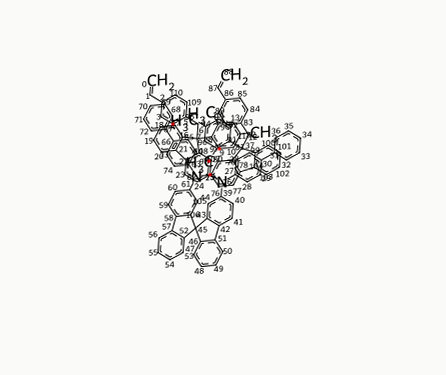 C=Cc1ccc(CC2(c3ccc(C)cc3C)c3ccccc3-c3ccc(N(c4ccc(-c5ccccc5)cc4)c4ccc5c(c4)C4(c6ccccc6-5)c5ccccc5-c5ccc(N(c6ccc(-c7ccccc7)cc6)c6ccc7c(c6)C(Cc6ccc(C=C)cc6)(c6ccc(C)cc6C)c6ccccc6-7)cc54)cc32)cc1